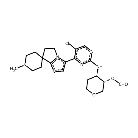 CN1CCC2(CC1)CCn1c(-c3nc(N[C@@H]4CCOC[C@H]4OC=O)ncc3Cl)cnc12